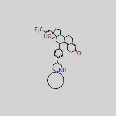 C[C@]12C[C@H](c3ccc(C4CCC5(CCCCCCCCCC5)NC4)cc3)C3=C4CCC(=O)C=C4CCC3C1CC[C@@]2(O)/C=C/C(F)(F)F